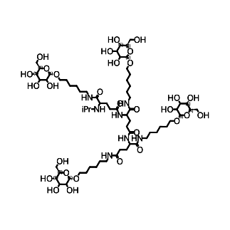 CC(C)NC(CCC(=O)NC(CCC(=O)NC(CCC(=O)NCCCCCCO[C@H]1O[C@H](CO)[C@@H](O)C(O)C1O)C(=O)NCCCCCCO[C@H]1O[C@H](CO)[C@@H](O)C(O)C1O)C(=O)NCCCCCCO[C@H]1O[C@H](CO)[C@@H](O)C(O)C1O)C(=O)NCCCCCCO[C@H]1O[C@H](CO)[C@@H](O)C(O)C1O